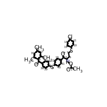 CC(=O)O/N=C(\CCSc1ccc(Cl)cc1)C(=O)c1ccc(Sc2ccc(C(=O)c3c(C)cc(C)cc3C)cc2)cc1